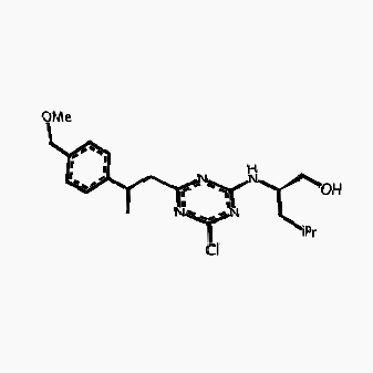 COCc1ccc(C(C)Cc2nc(Cl)nc(N[C@@H](CO)CC(C)C)n2)cc1